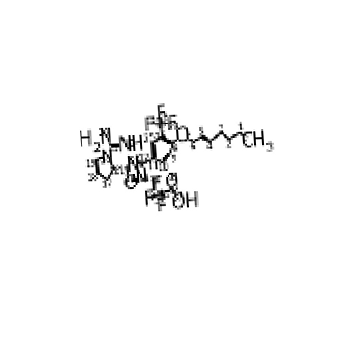 CCCCC=CCOc1ccc(-c2noc([C@@H]3CCCN3C(=N)N)n2)cc1C(F)(F)F.O=C(O)C(F)(F)F